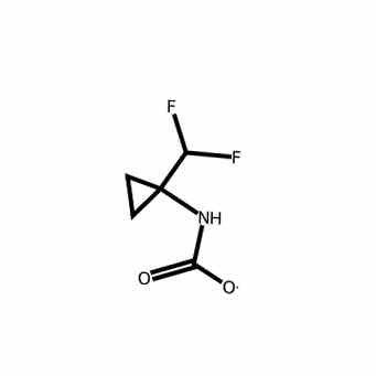 [O]C(=O)NC1(C(F)F)CC1